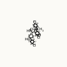 CC(CCC(NC=O)N1CCC(O)(c2ccc(Cl)cc2)CC1)(c1ccc(Cl)cc1)c1ccc(Cl)cc1.Cl